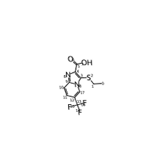 CCSc1c(C(=O)O)nc2ccc(C(F)(F)F)cn12